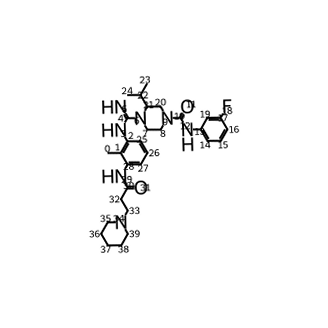 Cc1c(NC(=N)N2CCN(C(=O)Nc3cccc(F)c3)CC2C(C)C)cccc1NC(=O)CCN1CCCCC1